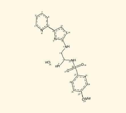 CCCC(CNc1nc(-c2ccccn2)cs1)NS(=O)(=O)c1ccc(OC)cc1.Cl